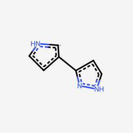 [c]1[nH]ccc1-c1cc[nH]n1